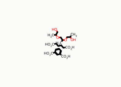 CC(O)COC(C)COC(C)CO.O=C(O)CCCCC(=O)O.O=C(O)c1cccc(C(=O)O)c1